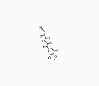 COc1c(Cl)cc(NC(=S)NNC(=O)CC#N)cc1Cl